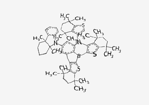 CC1(C)CCC(C)(C)c2c(N3c4cc(N5c6ccccc6C6(C)CCCCC56C)cc5c4B(c4sc6c(c4-5)C(C)(C)CCC6(C)C)c4sc5c(c43)C(C)(C)CCC5(C)C)csc21